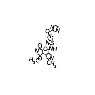 COc1cnc(Cl)cc1-c1cc(C)ncc1C(=O)Nc1nc2c(s1)CN(C(=O)c1cnccn1)C2